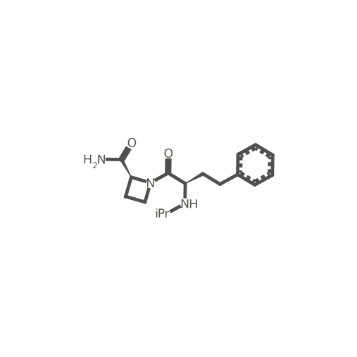 CC(C)N[C@H](CCc1ccccc1)C(=O)N1CC[C@H]1C(N)=O